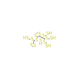 SCSC(SC1SCSC1C(S)(SCS)C(SCS)SCS)C1SCS1